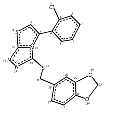 Clc1ccccc1-c1csc2nnc(SCc3ccc4c(c3)OCO4)n12